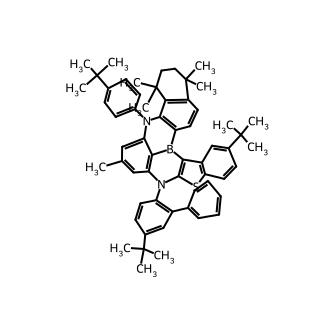 Cc1cc2c3c(c1)N(c1ccc(C(C)(C)C)cc1)c1c(ccc4c1C(C)(C)CCC4(C)C)B3c1c(sc3ccc(C(C)(C)C)cc13)N2c1ccc(C(C)(C)C)cc1-c1ccccc1